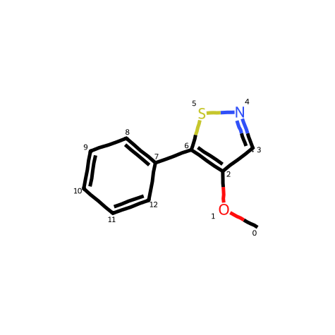 COc1[c]nsc1-c1ccccc1